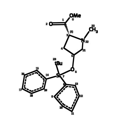 COC(=O)[C@H]1CC(O[Si](c2ccccc2)(c2ccccc2)C(C)(C)C)CN1C